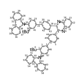 CC(C)(C)c1cc(-c2ccc(-c3nc4ccccc4nc3-c3ccc(-c4ccc(-n5c6ccccc6c6ccccc65)c(C(C)(C)C)c4)cc3)cc2)ccc1-n1c2ccccc2c2ccccc21